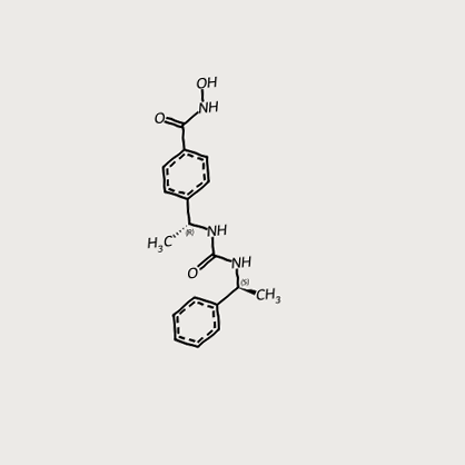 C[C@H](NC(=O)N[C@H](C)c1ccc(C(=O)NO)cc1)c1ccccc1